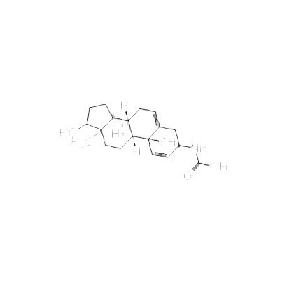 C[C@]12C=CC(NC(=O)O)CC1=CC[C@@H]1[C@H]2CC[C@]2(C)C(O)CC[C@@H]12